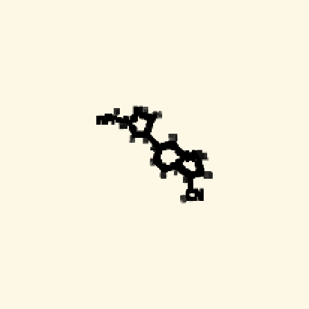 CCCn1cc(-c2ccc3c(C#N)cnn3c2)cn1